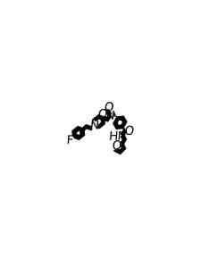 O=C1OC2(CCN(CCc3ccc(F)cc3)CC2)CN1C[C@H]1CC[C@H](C(=O)NCC2CCCO2)CC1